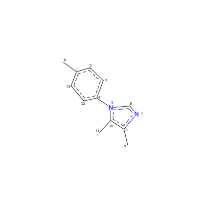 Cc1ccc(-n2cnc(C)c2C)cc1